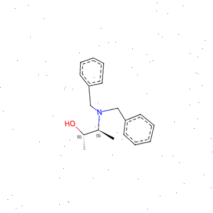 C[C@H](O)[C@H](C)N(Cc1ccccc1)Cc1ccccc1